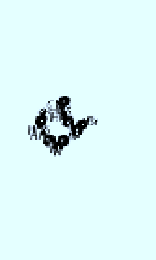 COc1ccc(NC(=S)NC2CCN(c3nncc4cc(Br)ccc34)CC2)cc1.S=C(Nc1ccccc1Cl)NC1CCN(c2nncc3cc(Br)ccc23)CC1